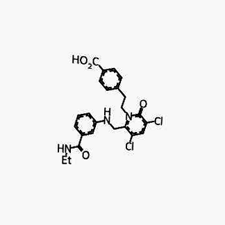 CCNC(=O)c1cccc(NCc2c(Cl)cc(Cl)c(=O)n2CCc2ccc(C(=O)O)cc2)c1